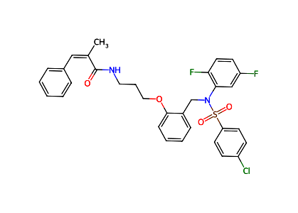 CC(=Cc1ccccc1)C(=O)NCCCOc1ccccc1CN(c1cc(F)ccc1F)S(=O)(=O)c1ccc(Cl)cc1